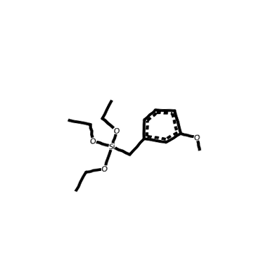 CCO[Si](Cc1cccc(OC)c1)(OCC)OCC